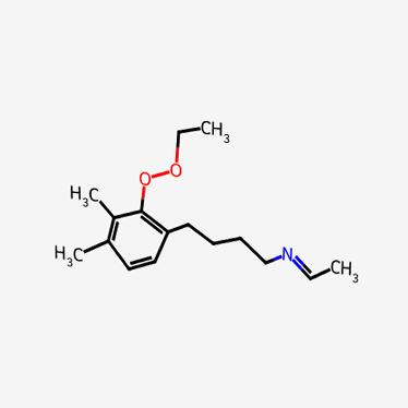 CC=NCCCCc1ccc(C)c(C)c1OOCC